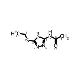 CCSc1nnc(NC(C)=O)s1